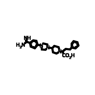 N=C(N)c1ccc(N2CCN(C3CCN(C(CCc4ccccc4)C(=O)O)CC3)CC2)cc1